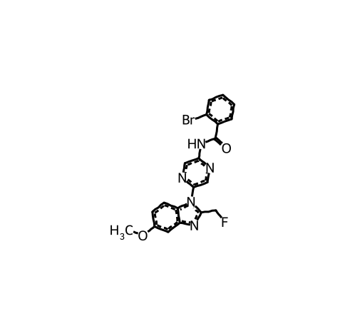 COc1ccc2c(c1)nc(CF)n2-c1cnc(NC(=O)c2ccccc2Br)cn1